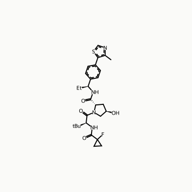 CC[C@H](NC(=O)[C@@H]1C[C@@H](O)CN1C(=O)[C@@H](NC(=O)C1(F)CC1)C(C)(C)C)c1ccc(-c2scnc2C)cc1